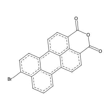 O=C1OC(=O)c2ccc3c4ccc(Br)c5cccc(c6ccc1c2c63)c54